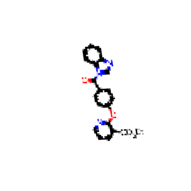 CCOC(=O)c1cccnc1Oc1ccc(C(=O)n2cnc3ccccc32)cc1